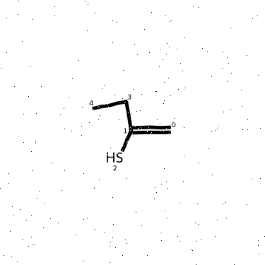 C=C(S)CC